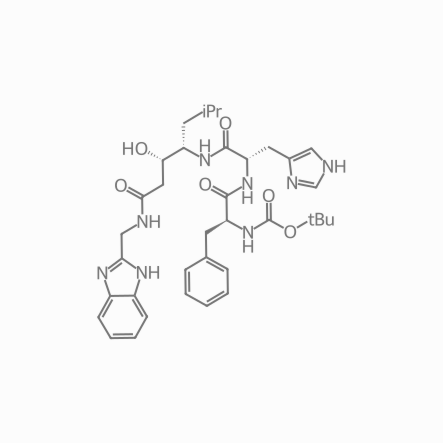 CC(C)C[C@H](NC(=O)[C@H](Cc1c[nH]cn1)NC(=O)[C@H](Cc1ccccc1)NC(=O)OC(C)(C)C)[C@@H](O)CC(=O)NCc1nc2ccccc2[nH]1